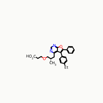 CCc1ccc(-c2c(-c3ccccc3)oc3ncnc(C[C@H](C)COCCC(=O)O)c23)cc1